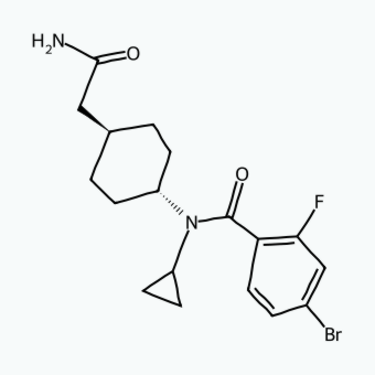 NC(=O)C[C@H]1CC[C@H](N(C(=O)c2ccc(Br)cc2F)C2CC2)CC1